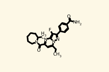 CCc1cc(C(=O)N2CCCCCC2C)nc2c(F)c(-c3ccc(C(N)=O)cc3)nn12